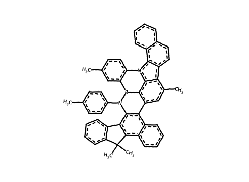 Cc1ccc(N2B3c4cc(C)ccc4-n4c5c3c(cc(C)c5c3ccc5ccccc5c34)-c3c2c2c(c4ccccc34)C(C)(C)c3ccccc3-2)cc1